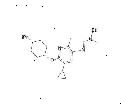 CCN(C)/C=N/c1cc(C2CC2)c(O[C@H]2CC[C@@H](C(C)C)CC2)nc1C